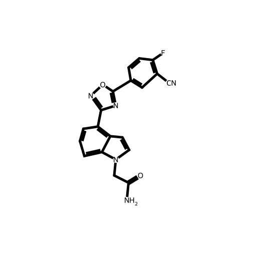 N#Cc1cc(-c2nc(-c3cccc4c3ccn4CC(N)=O)no2)ccc1F